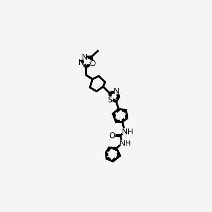 Cc1nnc(CC2CCC(c3ncc(-c4ccc(NC(=O)Nc5ccccc5)cc4)s3)CC2)o1